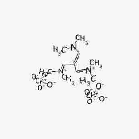 CN(C)C=C(C=[N+](C)C)C=[N+](C)C.[O-][Cl+3]([O-])([O-])[O-].[O-][Cl+3]([O-])([O-])[O-]